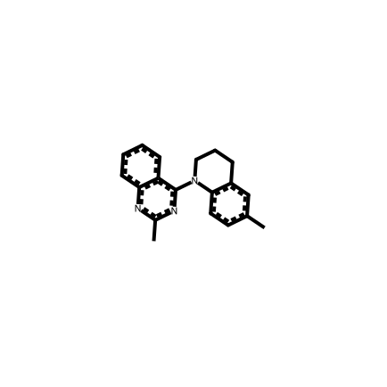 Cc1ccc2c(c1)CCCN2c1nc(C)nc2ccccc12